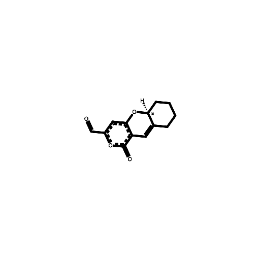 O=Cc1cc2c(c(=O)o1)C=C1CCCC[C@@H]1O2